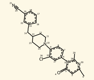 Cc1cc(=O)n(-c2ccc(N3CCC(Cc4cccc(C#N)c4)CC3)c(Cl)c2)c(C)n1